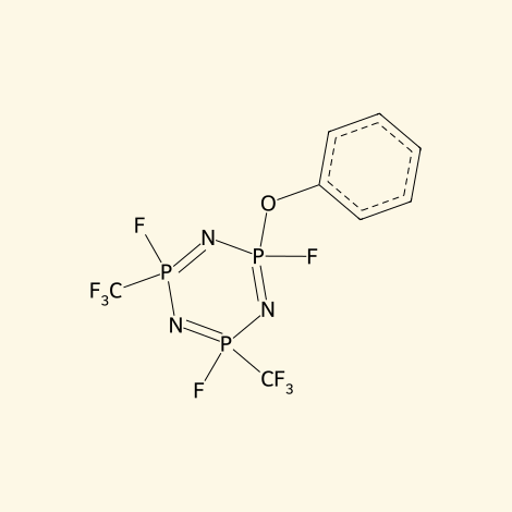 FC(F)(F)P1(F)=NP(F)(Oc2ccccc2)=NP(F)(C(F)(F)F)=N1